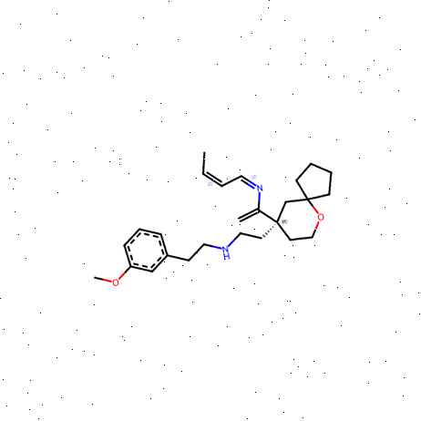 C=C(/N=C\C=C/C)[C@]1(CCNCCc2cccc(OC)c2)CCOC2(CCCC2)C1